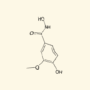 COc1cc(C(=O)NO)ccc1O